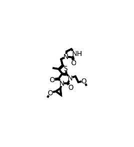 COCCn1c(=O)n(C2CC2OC)c(=O)c2c(C)c(CN3CCNC3=O)sc21